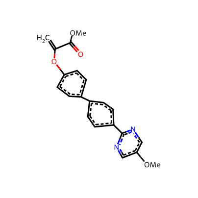 C=C(Oc1ccc(-c2ccc(-c3ncc(OC)cn3)cc2)cc1)C(=O)OC